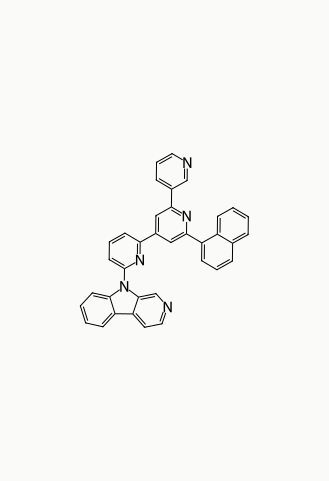 c1cncc(-c2cc(-c3cccc(-n4c5ccccc5c5ccncc54)n3)cc(-c3cccc4ccccc34)n2)c1